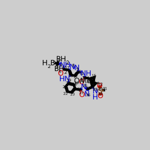 BC(B)(B)NC(=O)c1nnc(NC(=O)C2CC2)cc1Nc1cccc(-c2nc(C3(NS(C)(=O)=O)CC3)no2)c1OC